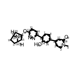 Cn1ccc(-c2ccc(-c3ccc(O[C@@H]4C[C@H]5CC[C@@H](C4)N5)nn3)c(O)c2)cc1=O